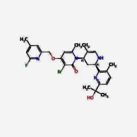 CC1=CN[C@@H](c2nc(C(C)(C)O)ccc2C)C[C@H]1n1c(C)cc(OCc2cc(C)cc(F)n2)c(Br)c1=O